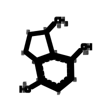 CC1CCc2c(O)ccc(O)c21